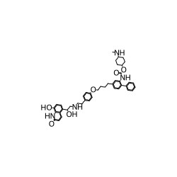 CNC1CCC(OC(=O)Nc2cc(CCCCOc3ccc(CCNC[C@@H](O)c4ccc(O)c5[nH]c(=O)ccc45)cc3)ccc2-c2ccccc2)CC1